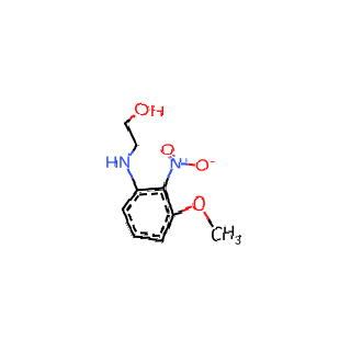 COc1cccc(NCCO)c1[N+](=O)[O-]